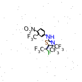 O=[N+]([O-])c1ccc(NC2=NC(C(F)(F)F)(C(F)(F)F)/C(=C(\F)C(F)(F)F)S2)cc1C(F)(F)F